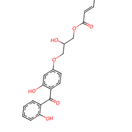 CC=CC(=O)OCC(O)COc1ccc(C(=O)c2ccccc2O)c(O)c1